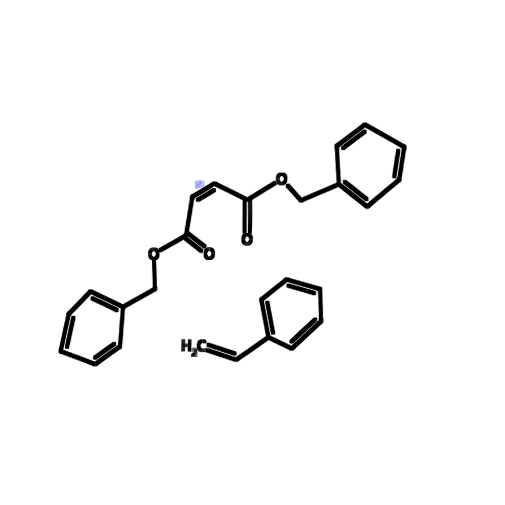 C=Cc1ccccc1.O=C(/C=C\C(=O)OCc1ccccc1)OCc1ccccc1